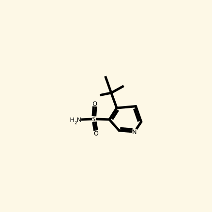 CC(C)(C)c1ccncc1S(N)(=O)=O